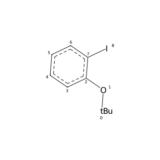 CC(C)(C)Oc1ccccc1I